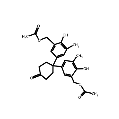 CC(=O)OCc1cc(C2(c3cc(C)c(O)c(COC(C)=O)c3)CCC(=O)CC2)cc(C)c1O